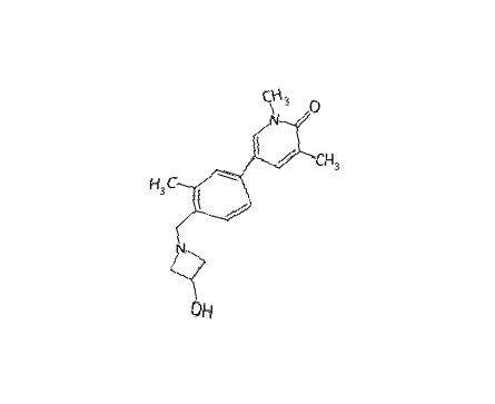 Cc1cc(-c2cc(C)c(=O)n(C)c2)ccc1CN1CC(O)C1